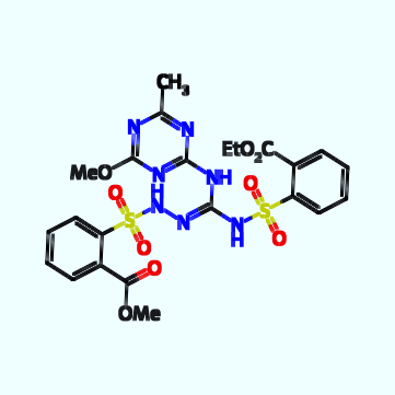 CCOC(=O)c1ccccc1S(=O)(=O)NC(=NNS(=O)(=O)c1ccccc1C(=O)OC)Nc1nc(C)nc(OC)n1